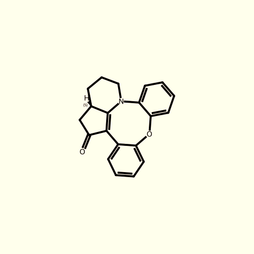 O=C1C[C@@H]2CCCn3c2c1c1ccccc1oc1ccccc13